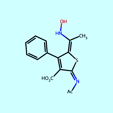 CC(=O)/N=C1/S/C(=C(\C)NO)C(c2ccccc2)=C1C(=O)O